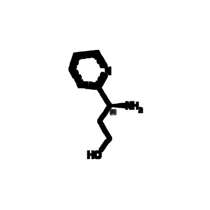 N[C@@H](CCO)c1ccccn1